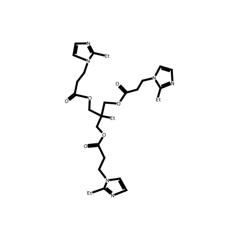 CCc1nccn1CCC(=O)OCC(CC)(COC(=O)CCn1ccnc1CC)COC(=O)CCn1ccnc1CC